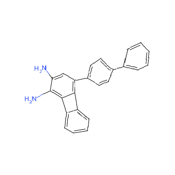 Nc1cc(-c2ccc(-c3ccccc3)cc2)c2c(c1N)-c1ccccc1-2